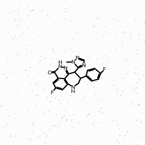 Cn1ncnc1C1c2n[nH]c(=O)c3cc(F)cc(c23)NCC1c1ccc(F)cc1